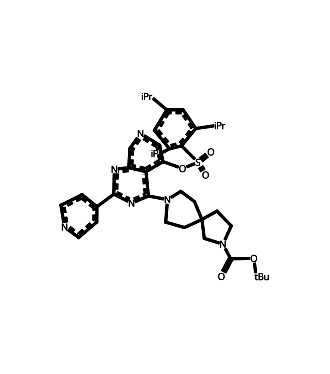 CC(C)c1cc(C(C)C)c(S(=O)(=O)Oc2cncc3nc(-c4ccncc4)nc(N4CCC5(CCN(C(=O)OC(C)(C)C)C5)CC4)c23)c(C(C)C)c1